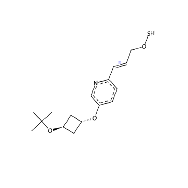 CC(C)(C)O[C@H]1C[C@H](Oc2ccc(/C=C/COS)nc2)C1